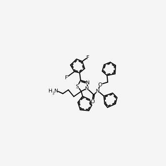 NCCCC1(c2ccccc2)SC(c2cc(F)ccc2F)=NN1C(=O)N(OCc1ccccc1)c1ccccc1